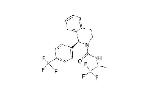 CC(NC(=O)N1CCc2ccccc2[C@@H]1c1ccc(C(F)(F)F)cc1)C(F)(F)F